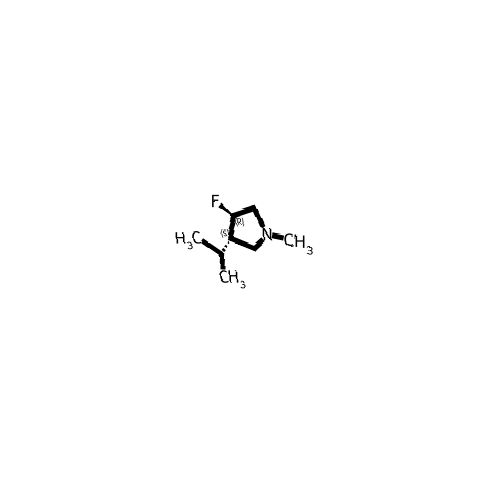 CC(C)[C@H]1CN(C)C[C@@H]1F